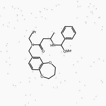 COC(NC(C)CC(=O)N(Cc1ccc2c(c1)OCCCO2)CC(C)C)c1ccccc1